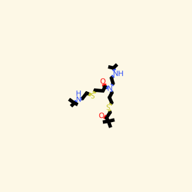 CC(C)NCCN(CCCSCC(=O)C(C)(C)C)C(=O)CCSCCNC(C)(C)C